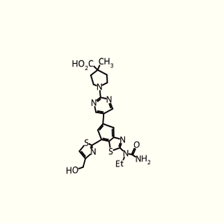 CCN(C(N)=O)c1nc2cc(-c3cnc(N4CCC(C)(C(=O)O)CC4)nc3)cc(-c3nc(CO)cs3)c2s1